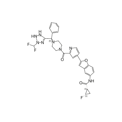 O=C(Nc1ccc2oc(-c3ccnc(C(=O)N4CCN([C@@H](C5=NN(C(F)F)NN5)c5ccccc5)CC4)c3)cc2c1)[C@@H]1C[C@@H]1F